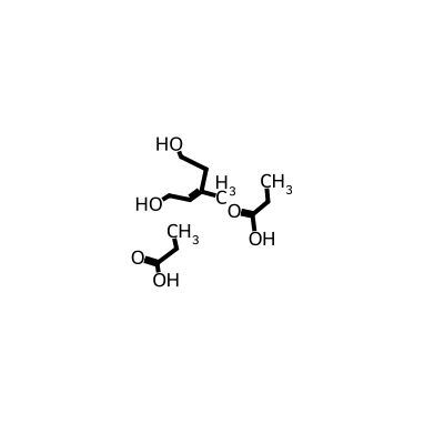 CC(=CCO)CCO.CCC(=O)O.CCC(=O)O